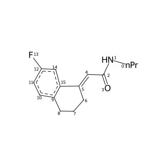 CCCNC(=O)C=C1CCCc2ccc(F)cc21